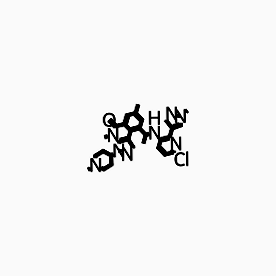 Cc1cc(C(C)Nc2ccc(Cl)nc2-c2cnn(C)c2)c2c(c1)c(=O)n(C)c1c2cnn1C1CCN(C)CC1